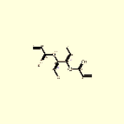 C=CC(=O)OC(=C/C)/C(=C\C)OC(=O)C=C